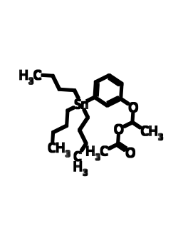 CCC[CH2][Sn]([CH2]CCC)([CH2]CCC)[c]1cccc(OC(C)OC(C)=O)c1